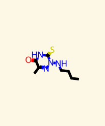 CCCCNn1nc(C)c(=O)[nH]c1=S